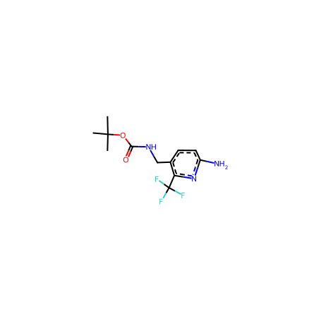 CC(C)(C)OC(=O)NCc1ccc(N)nc1C(F)(F)F